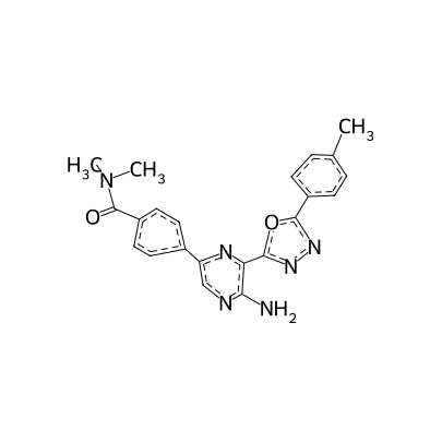 Cc1ccc(-c2nnc(-c3nc(-c4ccc(C(=O)N(C)C)cc4)cnc3N)o2)cc1